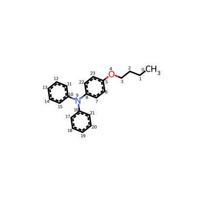 CCCCOc1ccc(N(c2ccccc2)c2ccccc2)cc1